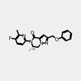 Cc1nc(N2C(=O)c3cc(COc4ccccc4)nn3C[C@@H]2C)ccc1F